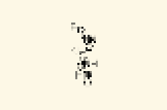 O=C1CC[C@H](C(=O)Nc2cc(-c3ccc4ncn(Cc5cccc(F)c5)c4c3)c(Cl)cn2)N1